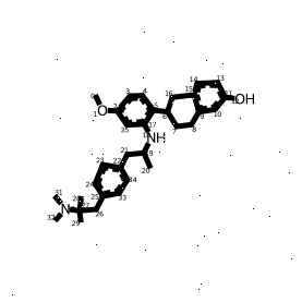 COc1ccc(C2CCc3cc(O)ccc3C2)c(NC(C)Cc2ccc(CC(C)(C)N(C)C)cc2)c1